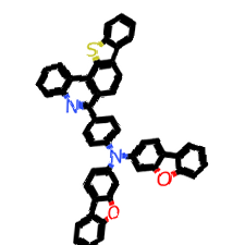 c1ccc2c(c1)nc(-c1ccc(N(c3ccc4c(c3)oc3ccccc34)c3ccc4c(c3)oc3ccccc34)cc1)c1ccc3c4ccccc4sc3c12